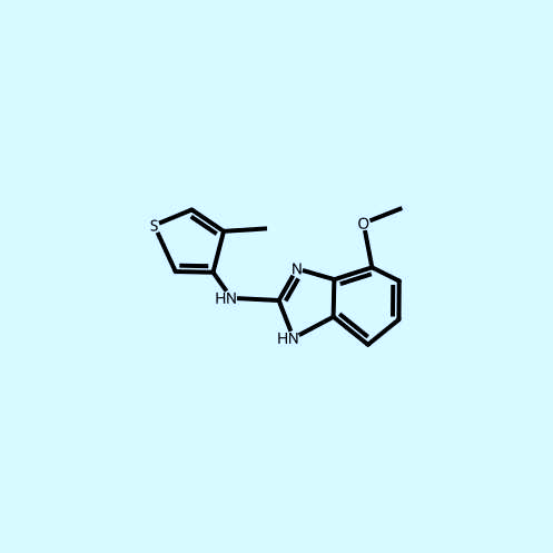 COc1cccc2[nH]c(Nc3cscc3C)nc12